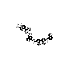 Cc1ccc(-c2cnc(NCc3c(F)cc(COC(=O)c4ccc(-c5cnc(NCc6c(F)ccc7c6CCO7)n6cnnc56)c5nccn45)c4c3CCO4)n3cnnc23)c2ncc(C(C)C)n12